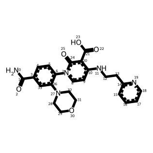 NC(=O)c1ccc(-n2ccc(NCCc3ccccn3)c(C(=O)O)c2=O)c(N2CCOCC2)c1